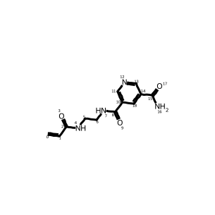 C=CC(=O)NCCNC(=O)c1cncc(C(N)=O)c1